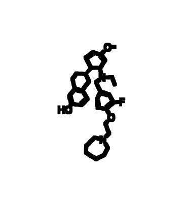 CCN(Cc1ccc(OCCN2CCCCCC2)c(F)c1)C1C=C(OC)C=CC1[C@@H]1CCc2cc(O)ccc2C1